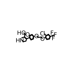 O=C(O)C1=C(c2ccc(OCCOc3ccc(C(F)(F)F)cc3Cl)cc2)CCNC1